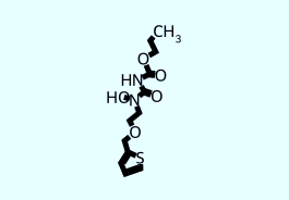 CCCOC(=O)NC(=O)N(O)CCOCc1cccs1